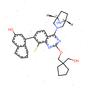 OCC1(COc2nc(N3C[C@H]4CC[C@@H](C3)N4)c3ccc(-c4cc(O)cc5ccccc45)c(F)c3n2)CCCC1